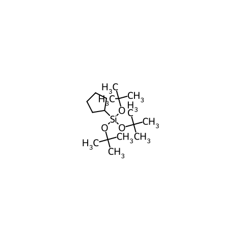 CC(C)(C)O[Si](OC(C)(C)C)(OC(C)(C)C)C1CCCC1